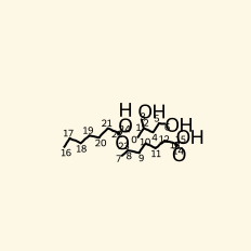 CC(CO)CCO.CCCCCCC(=O)O.CCCCCCC(=O)O